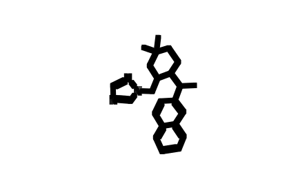 CC(c1ccc2ccccc2c1)C1CCC(C)(C)CC1Cn1cncn1